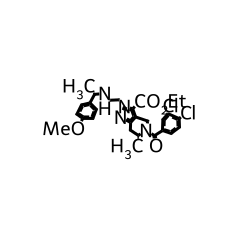 CCOC(=O)c1c2c(nn1CCN[C@@H](C)c1ccc(OC)cc1)C[C@@H](C)N(C(=O)c1ccc(Cl)c(Cl)c1)C2